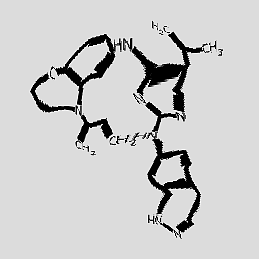 C=CC(=C)N1CCCc2ccc(Nc3nc(Nc4ccc5cn[nH]c5c4)ncc3C(=C)C)cc21